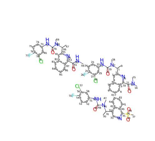 CC(c1cc2ccccc2c(C(=O)N(C)C)n1)N(C)C(=O)Nc1ccc(F)c(Cl)c1.CC(c1cnc(S(C)(=O)=O)c2ccccc12)N(C)C(=O)Nc1ccc(F)c(Cl)c1.CNC(=O)c1nc(C(C)N(C)C(=O)Nc2ccc(F)c(Cl)c2)cc2ccccc12